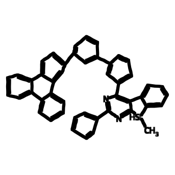 C[SiH]1c2ccccc2-c2c(-c3cccc(-c4cccc(-c5ccc6c7ccccc7c7ccccc7c6c5)c4)c3)nc(-c3ccccc3)nc21